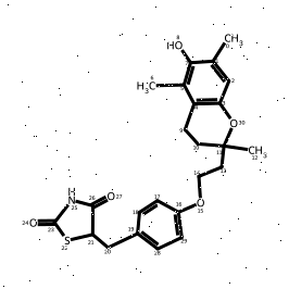 Cc1cc2c(c(C)c1O)CCC(C)(CCOc1ccc(CC3SC(=O)NC3=O)cc1)O2